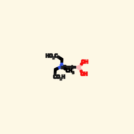 CCCCCB(O)O.CN(CC(=O)O)CC(=O)O